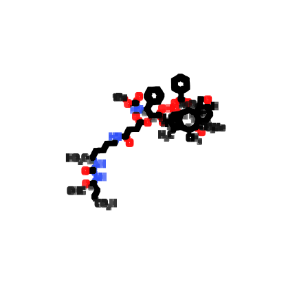 CO[C@H]1C[C@H]2OC[C@@]2(OC(C)=O)[C@H]2[C@H](OC(=O)c3ccccc3)[C@]3(O)C[C@H](OC(=O)[C@H](OC(=O)CCC(=O)NCCCC[C@H](NC(=O)N[C@@H](CCC(=O)O)OC=O)C(=O)O)[C@@H](NC(=O)OC(C)(C)C)c4ccccc4)C(C)=C([C@@H](C)C(=O)[C@]12C)C3(C)C